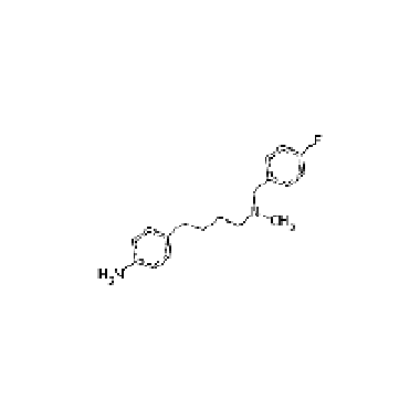 CN(CCCCc1ccc(N)cc1)Cc1ccc(F)cc1